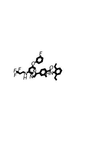 CCc1cccc(CC)c1NC(=O)c1ccc(-c2cnc3c(NCCC(F)(F)F)cc(Oc4cccc(F)c4)cn23)cc1C